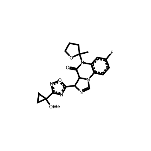 COC1(c2noc(C3N=CN4c5ccc(F)cc5N(C5(C)CCCO5)C(=O)C34)n2)CC1